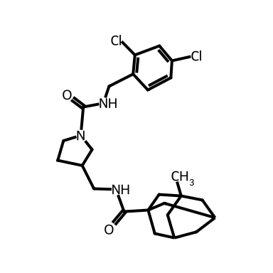 CC12CC3CC(C1)CC(C(=O)NCC1CCN(C(=O)NCc4ccc(Cl)cc4Cl)C1)(C3)C2